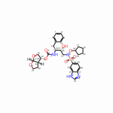 O=C(N[C@@H](Cc1ccccc1)[C@H](O)CN(OC1CCCC1)S(=O)(=O)c1ccc2nc[nH]c2c1)O[C@H]1CO[C@H]2OCC[C@H]21